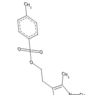 CC1=C(CCOS(=O)(=O)c2ccc(C)cc2)SCN1C